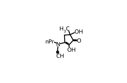 C#CN(CCC)C1=C(O)C(=O)C(C)(O)C1